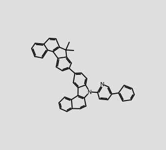 CC1(C)c2cc(-c3ccc4c(c3)c3c5ccccc5ccc3n4-c3ccc(-c4ccccc4)cn3)ccc2-c2c1ccc1ccccc21